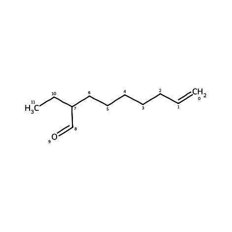 C=CCCCCCC(C=O)CC